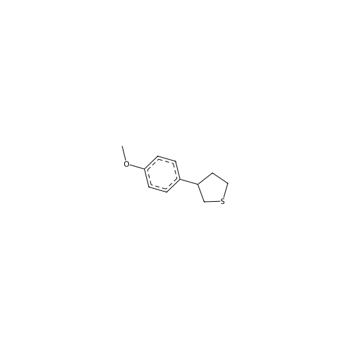 COc1ccc(C2CCSC2)cc1